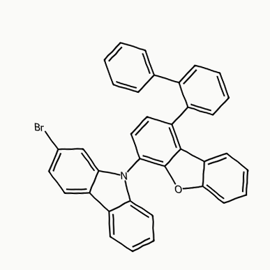 Brc1ccc2c3ccccc3n(-c3ccc(-c4ccccc4-c4ccccc4)c4c3oc3ccccc34)c2c1